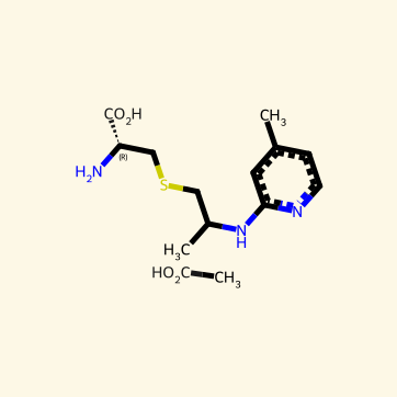 CC(=O)O.Cc1ccnc(NC(C)CSC[C@H](N)C(=O)O)c1